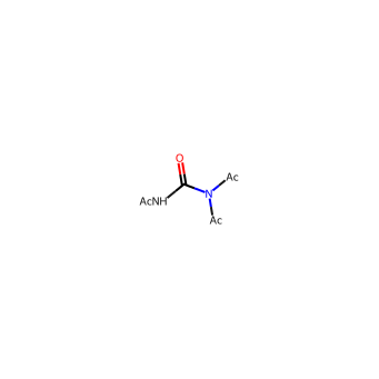 CC(=O)NC(=O)N(C(C)=O)C(C)=O